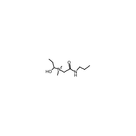 CCCNC(=O)C[N+](C)(C)C(O)CC